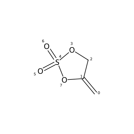 C=C1COS(=O)(=O)O1